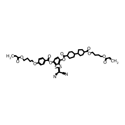 C=CC(=O)OCCCCOC(=O)C1CCC(C2CCC(C(=O)Oc3ccc(OC(=O)c4ccc(OCCCCOC(=O)C=C)cc4)c4c3SC(=C(C#N)C#N)S4)CC2)CC1